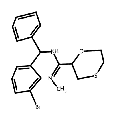 CN=C(NC(c1ccccc1)c1cccc(Br)c1)C1CSCCO1